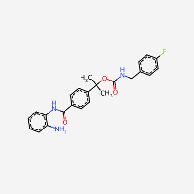 CC(C)(OC(=O)NCc1ccc(F)cc1)c1ccc(C(=O)Nc2ccccc2N)cc1